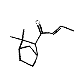 CC=CC(=O)C1C2CCC(C2)C1(C)C